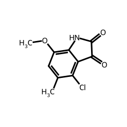 COc1cc(C)c(Cl)c2c1NC(=O)C2=O